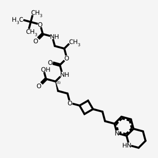 CC(CNC(=O)OC(C)(C)C)OC(=O)N[C@@H](CCOC1CC(CCc2ccc3c(n2)NCCC3)C1)C(=O)O